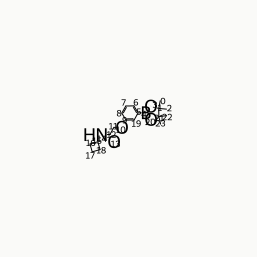 CC1(C)OB(c2cccc(OCC(=O)NC3CCC3)c2)OC1(C)C